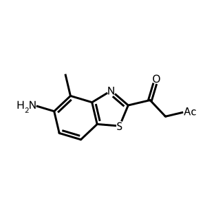 CC(=O)CC(=O)c1nc2c(C)c(N)ccc2s1